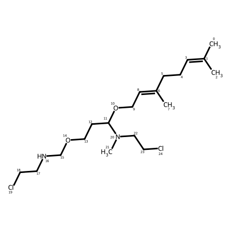 CC(C)=CCC/C(C)=C/COC(CCOCNCCCl)N(C)CCCl